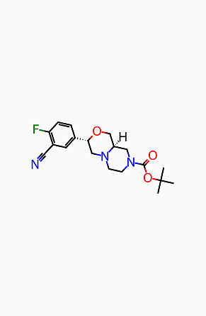 CC(C)(C)OC(=O)N1CCN2C[C@H](c3ccc(F)c(C#N)c3)OC[C@H]2C1